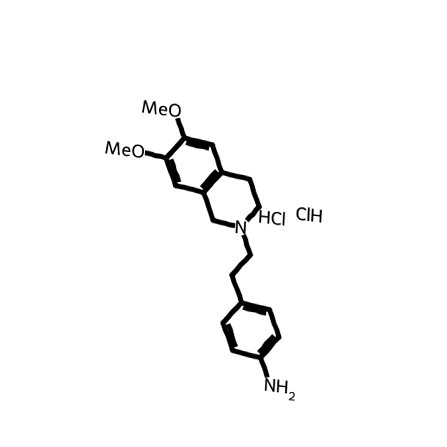 COc1cc2c(cc1OC)CN(CCc1ccc(N)cc1)CC2.Cl.Cl